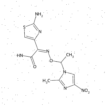 Cc1nc([N+](=O)[O-])cn1C(C)O/N=C(\C([NH])=O)c1csc(N)n1